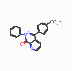 O=C(O)c1ccc(-c2nn(-c3ccccc3)c(=O)c3ncccc23)cc1